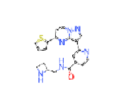 O=C(NCC1CCN1)c1ccnc(-c2cnn3ccc(-c4cccs4)nc23)c1